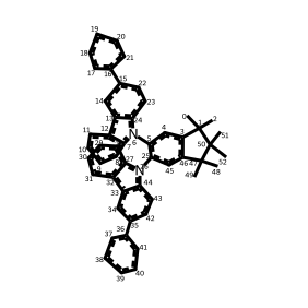 CC1(C)c2cc(-n3c4ccccc4c4cc(-c5ccccc5)ccc43)c(-n3c4ccccc4c4cc(-c5ccccc5)ccc43)cc2C(C)(C)C1(C)C